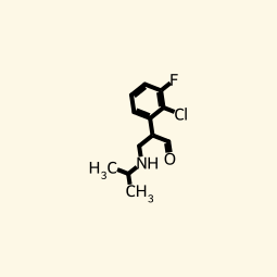 CC(C)NCC(C=O)c1cccc(F)c1Cl